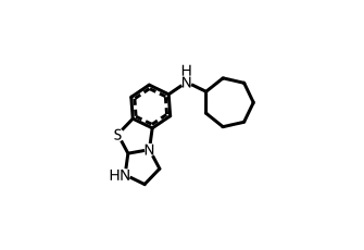 c1cc2c(cc1NC1CCCCCC1)N1CCNC1S2